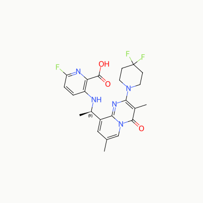 Cc1cc([C@@H](C)Nc2ccc(F)nc2C(=O)O)c2nc(N3CCC(F)(F)CC3)c(C)c(=O)n2c1